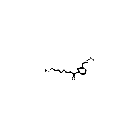 COCc1cccc(C(=O)CCCCCCCO)c1